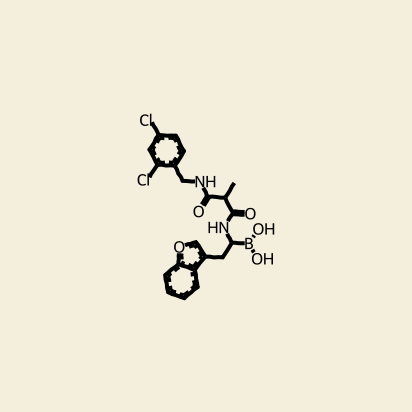 CC(C(=O)NCc1ccc(Cl)cc1Cl)C(=O)NC(Cc1coc2ccccc12)B(O)O